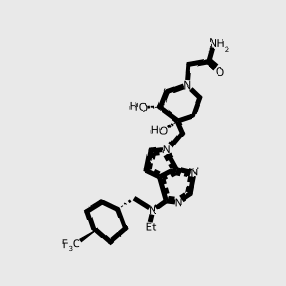 CCN(C[C@H]1CC[C@H](C(F)(F)F)CC1)c1ncnc2c1ccn2C[C@]1(O)CCN(CC(N)=O)C[C@H]1O